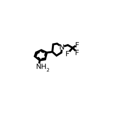 Nc1cccc(C2CCN(CC(F)(F)F)CC2)c1